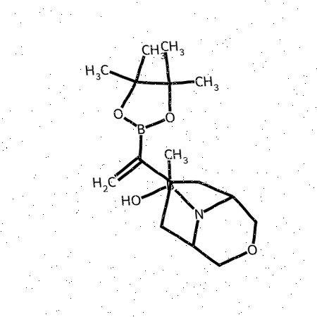 C=C(B1OC(C)(C)C(C)(C)O1)C1CC2COCC(C1)N2B(C)O